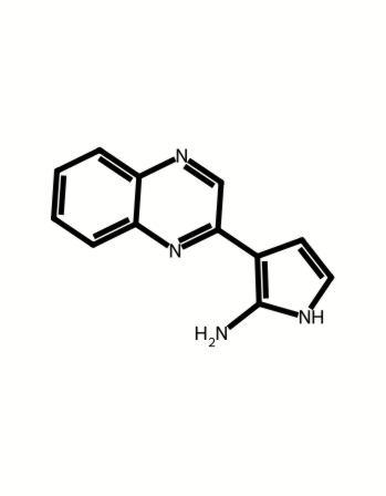 Nc1[nH]ccc1-c1cnc2ccccc2n1